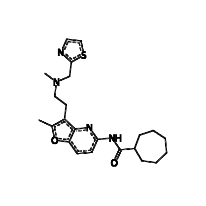 Cc1oc2ccc(NC(=O)C3CCCCCC3)nc2c1CCN(C)Cc1nccs1